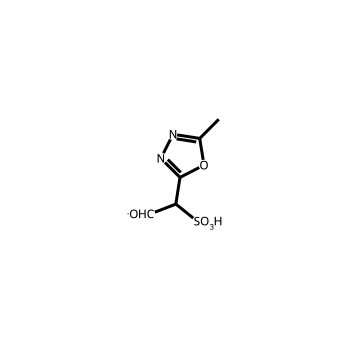 Cc1nnc(C([C]=O)S(=O)(=O)O)o1